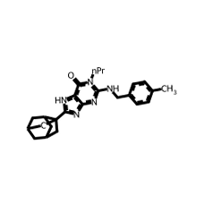 CCCn1c(NCc2ccc(C)cc2)nc2nc(C34CC5CC(CC3C5)C4)[nH]c2c1=O